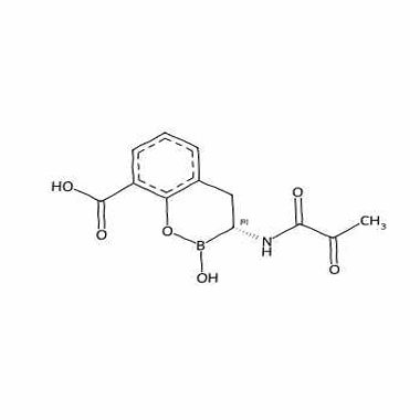 CC(=O)C(=O)N[C@H]1Cc2cccc(C(=O)O)c2OB1O